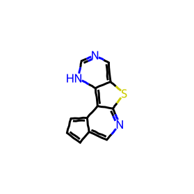 c1cc2cnc3sc4cnc[nH]c4c3c2c1